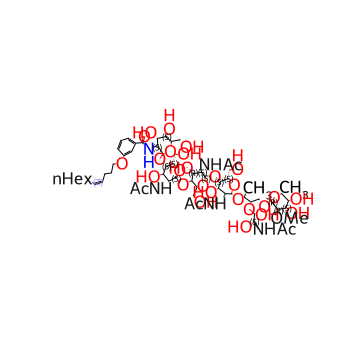 CCCCCC/C=C\CCCOc1cccc(C(=O)N[C@@H]2C(O[C@H]3C(O)C(NC(C)=O)[C@H](OC4C(CO)O[C@@H](O[C@H]5C(O)C(NC(C)=O)C(OC(C)C(CO[C@@H]6OC(C)C(O)[C@H](O)[C@H]6OC)OC(O)[C@H](O)NC(C)=O)O[C@H]5CO)[C@@H](NC(C)=O)[C@H]4O)O[C@H]3CO)OC(CO)[C@@H](O)C2O)c1